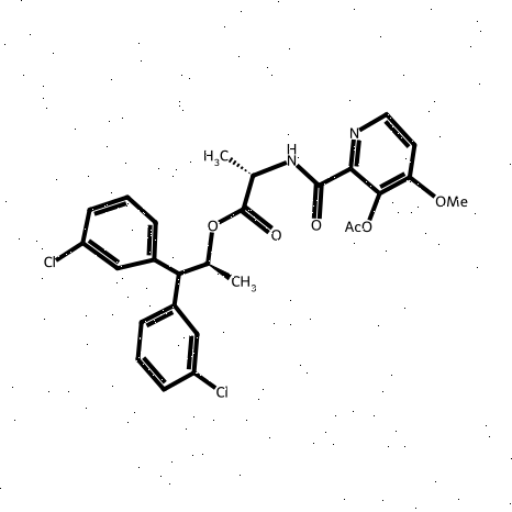 COc1ccnc(C(=O)N[C@@H](C)C(=O)O[C@@H](C)C(c2cccc(Cl)c2)c2cccc(Cl)c2)c1OC(C)=O